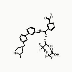 COC(=O)c1cccc(C(=O)NCc2cccc(-c3cccc(CN4CCNC(C)C4)c3)c2)c1.O=C(O)C(F)(F)F.O=C(O)C(F)(F)F